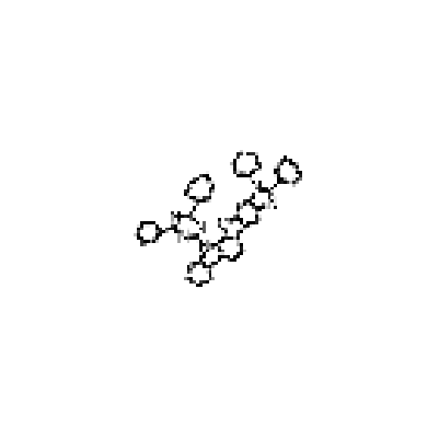 c1ccc(-c2nc(-c3ccccc3)nc(-n3c4ccccc4c4ccc5c6cc7nc(-c8ccccc8)n(-c8ccccc8)c7cc6oc5c43)n2)cc1